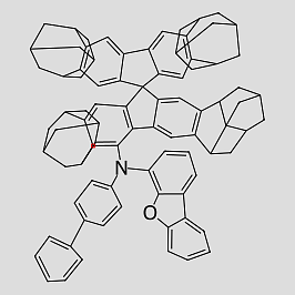 c1ccc(-c2ccc(N(c3c4c(cc5c3C3CC6CC(CC5C6)C3)C3(c5cc6c(cc5-c5cc7c(cc53)C3CC5CC(CC7C5)C3)C3CC5CC(C3)CC6C5)c3cc5c(cc3-4)C3CC4CC(C3)CC5C4)c3cccc4c3oc3ccccc34)cc2)cc1